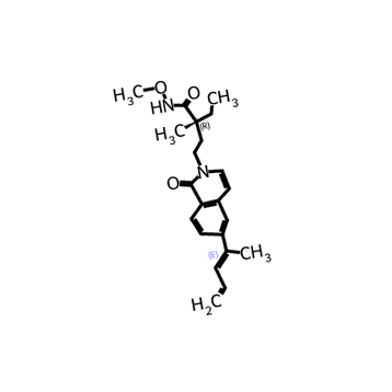 C=C/C=C(\C)c1ccc2c(=O)n(CC[C@@](C)(CC)C(=O)NOC)ccc2c1